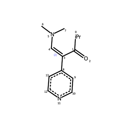 CC(C)C(=O)/C(=C\N(C)C)c1ccncc1